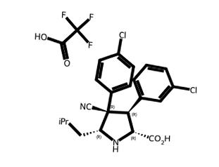 CC(C)C[C@H]1N[C@@H](C(=O)O)[C@H](c2cccc(Cl)c2)[C@@]1(C#N)c1ccc(Cl)cc1.O=C(O)C(F)(F)F